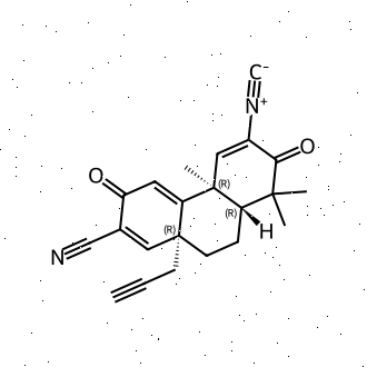 [C-]#[N+]C1=C[C@]2(C)C3=CC(=O)C(C#N)=C[C@]3(CC#C)CC[C@H]2C(C)(C)C1=O